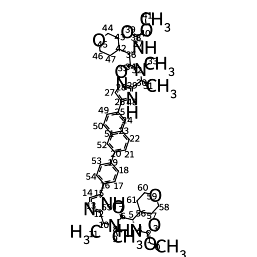 COC(=O)N[C@H](C(=O)N(C)[C@@H](C)c1ncc(-c2ccc(-c3ccc4cc(-c5cnc([C@H](C)N(C)C(=O)[C@@H](NC(=O)OC)C6CCOCC6)[nH]5)ccc4c3)cc2)[nH]1)C1CCOCC1